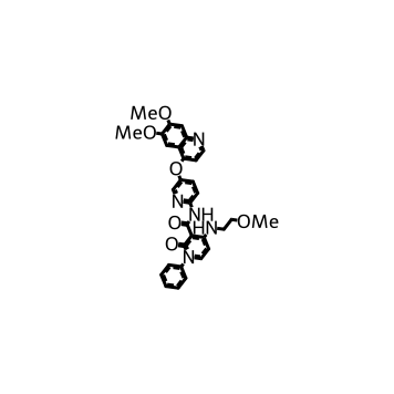 COCCNc1ccn(-c2ccccc2)c(=O)c1C(=O)Nc1ccc(Oc2ccnc3cc(OC)c(OC)cc23)cn1